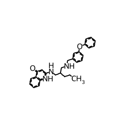 CCCC(CNCc1cccc(Oc2ccccc2)c1)CNc1cc(=O)c2ccccc2[nH]1